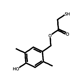 Cc1cc(COC(=O)CS)c(C)cc1O